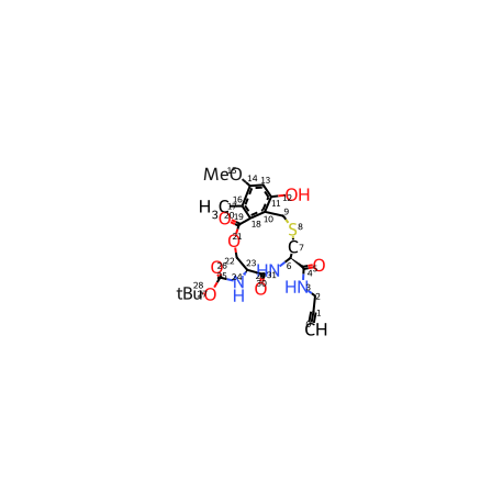 C#CCNC(=O)[C@@H]1CSCc2c(O)cc(OC)c(C)c2C(=O)OC[C@H](NC(=O)OC(C)(C)C)C(=O)N1